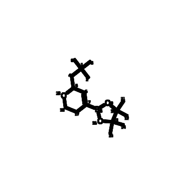 CC(C)(C)CC1C=C(B2OC(C)(C)C(C)(C)O2)CCO1